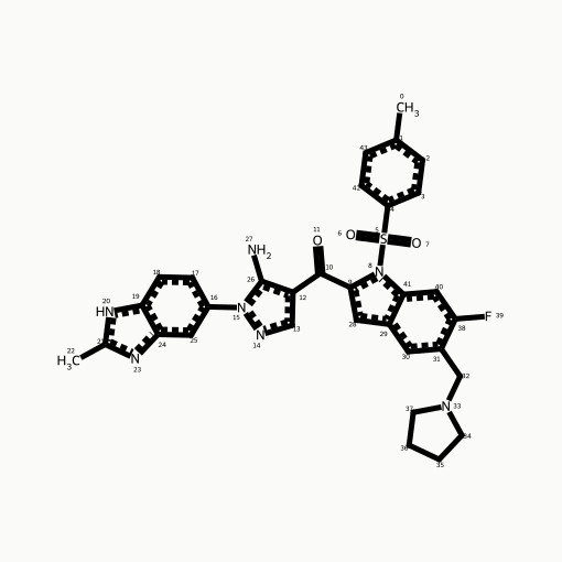 Cc1ccc(S(=O)(=O)n2c(C(=O)c3cnn(-c4ccc5[nH]c(C)nc5c4)c3N)cc3cc(CN4CCCC4)c(F)cc32)cc1